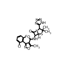 Cc1onc(-c2c(F)cccc2Cl)c1C(=O)NC1C(=O)N2C(c3nnn[nH]3)C(C)(C)S[C@H]12